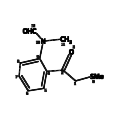 CSCC(=O)c1ccccc1N(C)C=O